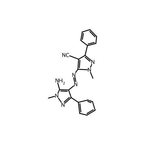 Cn1nc(-c2ccccc2)c(/N=N/c2c(C#N)c(-c3ccccc3)nn2C)c1N